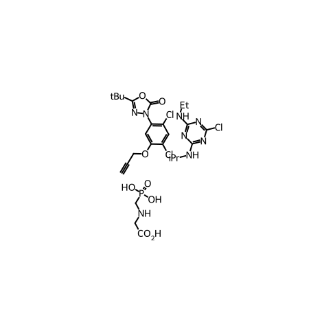 C#CCOc1cc(-n2nc(C(C)(C)C)oc2=O)c(Cl)cc1Cl.CCNc1nc(Cl)nc(NC(C)C)n1.O=C(O)CNCP(=O)(O)O